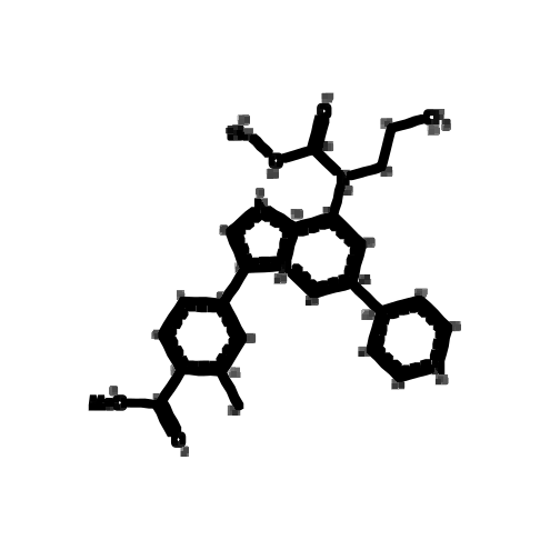 COC(=O)c1ccc(-c2cnc3c(N(CCC(F)(F)F)C(=O)OC(C)(C)C)cc(-c4ccncc4)cn23)cc1C